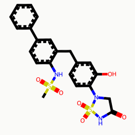 CS(=O)(=O)Nc1ccc(-c2ccccc2)cc1Cc1ccc(N2CC(=O)NS2(=O)=O)c(O)c1